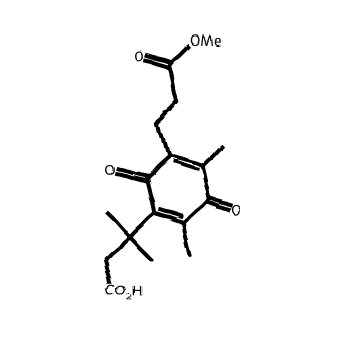 COC(=O)CCC1=C(C)C(=O)C(C)=C(C(C)(C)CC(=O)O)C1=O